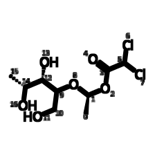 C[C@H](OC(=O)C(Cl)Cl)OC(CO)[C@@H](O)[C@@H](C)O